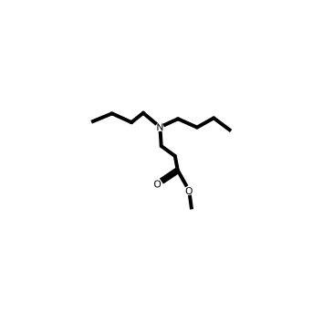 CCCCN(CCCC)CCC(=O)OC